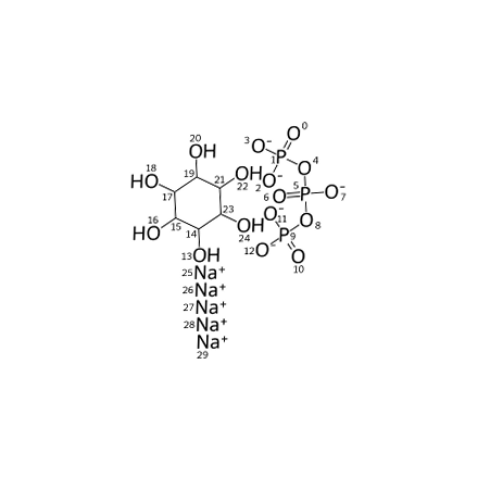 O=P([O-])([O-])OP(=O)([O-])OP(=O)([O-])[O-].OC1C(O)C(O)C(O)C(O)C1O.[Na+].[Na+].[Na+].[Na+].[Na+]